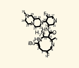 CCC(C)/C1=C/CC(F)/C=N\C(C)C(C(=O)NC2CN=CC(F)C2N2CCN3CCN(C)CC3C2)C(N)N1